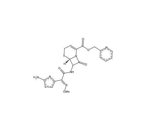 CON=C(C(=O)NC1C(=O)N2C(C(=O)OCc3ccccn3)=CCS[C@@H]12)c1csc(N)n1